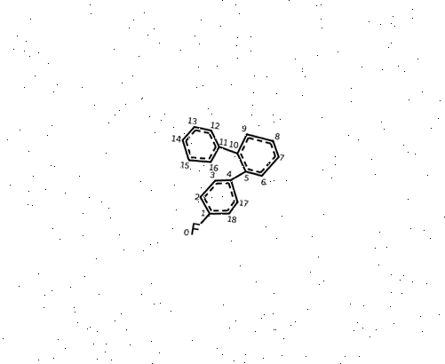 Fc1ccc(-c2ccccc2-c2ccccc2)cc1